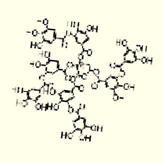 O=C(Oc1cc(C(=O)OC2C[C@@H](OC(=O)c3cc(O)c(O)c(OC(=O)c4cc(O)c(O)c(O)c4)c3)[C@H](OC(=O)c3cc(O)c(O)c(OC(=O)c4cc(O)c(O)c(O)c4)c3)[C@@H](OC(=O)c3cc(O)c(O)c(OC(=O)c4cc(O)c(O)c(O)c4)c3)O2)cc(O)c1O)c1cc(O)c(O)c(O)c1